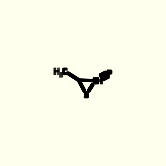 CC1S[SH]1#P